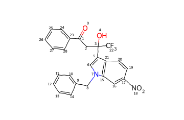 O=C(CC(O)(c1cn(Cc2ccccc2)c2cc([N+](=O)[O-])ccc12)C(F)(F)F)c1ccccc1